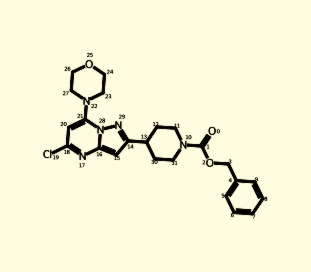 O=C(OCc1ccccc1)N1CCC(c2cc3nc(Cl)cc(N4CCOCC4)n3n2)CC1